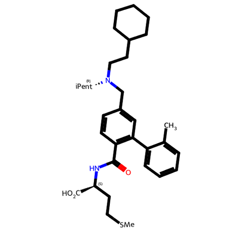 CCC[C@@H](C)N(CCC1CCCCC1)Cc1ccc(C(=O)N[C@@H](CCSC)C(=O)O)c(-c2ccccc2C)c1